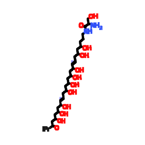 CC(C)C(=O)CC(O)CC(O)CC(O)/C=C/CC(O)CC(O)CC(O)CC(O)/C=C/CC(O)CC(O)CCCNC(=O)C(N)CO